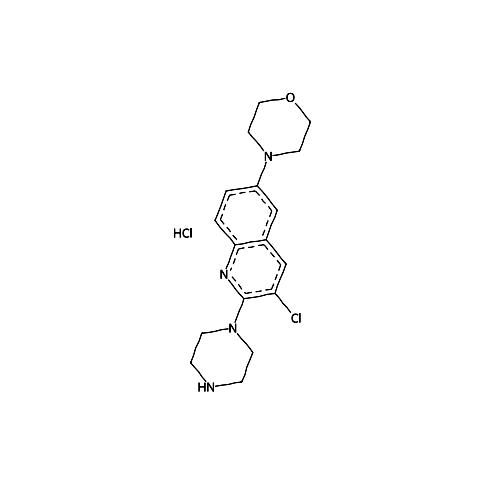 Cl.Clc1cc2cc(N3CCOCC3)ccc2nc1N1CCNCC1